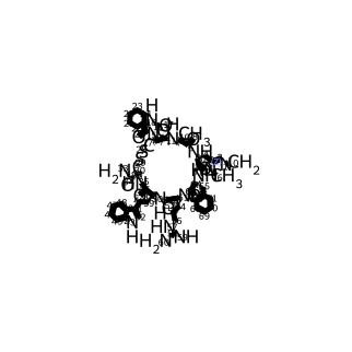 C=N/C=C(/C[C@@H]1NC(=O)[C@@H](C)NC(=O)[C@@H](N2C(=O)NC3(CCCCC3)C2=O)CSSC[C@@H](C(N)=O)NC(=O)[C@H](CCc2c[nH]c3ccccc23)NC(=O)[C@H](CCCNC(=N)N)NC(=O)[C@@H](Cc2ccccc2)NC1=O)NC